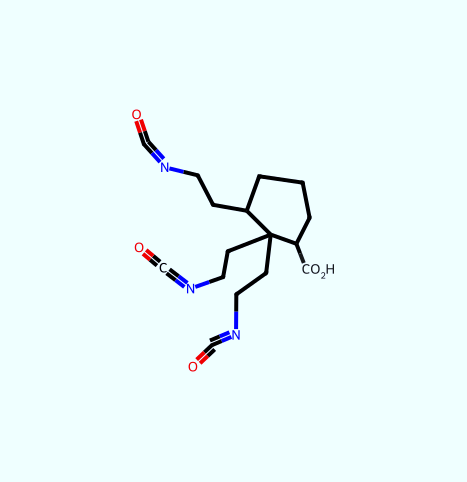 O=C=NCCC1CCCC(C(=O)O)C1(CCN=C=O)CCN=C=O